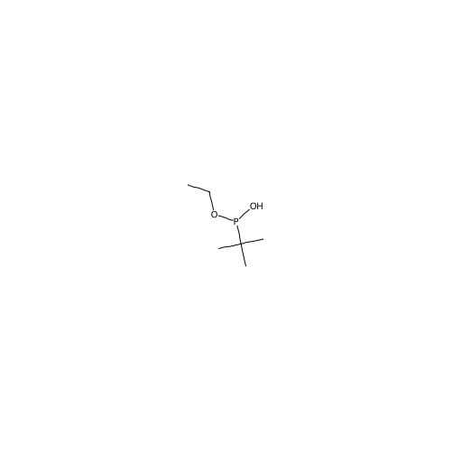 CCOP(O)C(C)(C)C